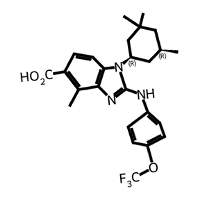 Cc1c(C(=O)O)ccc2c1nc(Nc1ccc(OC(F)(F)F)cc1)n2[C@@H]1C[C@H](C)CC(C)(C)C1